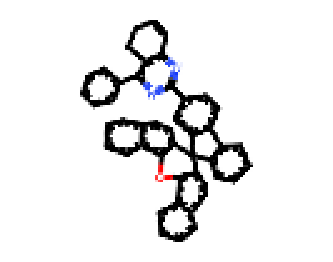 C1=Cc2nc(-c3ccc4c(c3)C3(c5ccccc5-4)c4ccc5ccccc5c4Oc4c3ccc3ccccc43)nc(-c3ccccc3)c2CC1